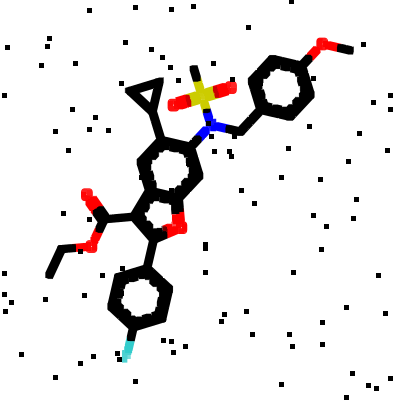 CCOC(=O)c1c(-c2ccc(F)cc2)oc2cc(N(Cc3ccc(OC)cc3)S(C)(=O)=O)c(C3CC3)cc12